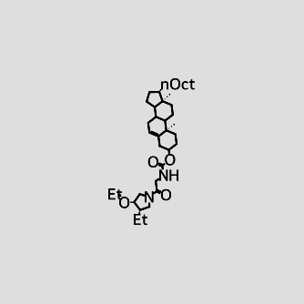 CCCCCCCC[C@H]1CCC2C3CC=C4CC(OC(=O)NCC(=O)N5C[C@H](CC)[C@H](OCC)C5)CC[C@]4(C)C3CC[C@@]21C